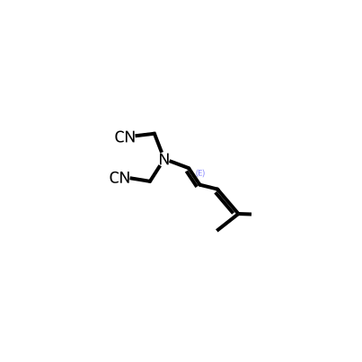 [C-]#[N+]CN(/C=C/C=C(C)C)C[N+]#[C-]